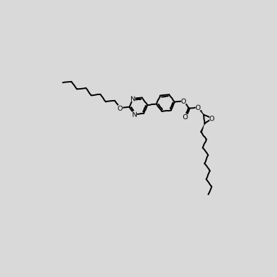 CCCCCCCCC[C@@H]1O[C@@H]1OC(=O)Oc1ccc(-c2cnc(OCCCCCCCC)nc2)cc1